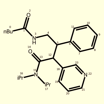 CCCCC(=O)NCC(c1ccccc1)C(C(=O)N(C(C)C)C(C)C)c1cccnc1